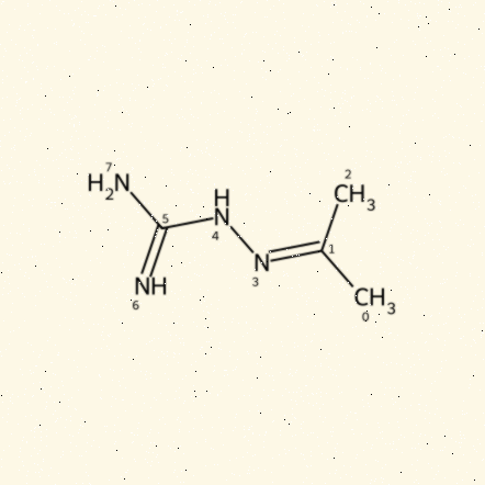 CC(C)=NNC(=N)N